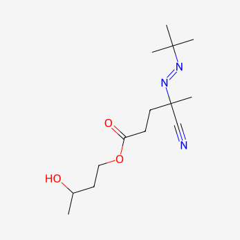 CC(O)CCOC(=O)CCC(C)(C#N)N=NC(C)(C)C